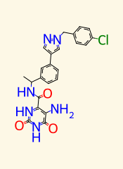 CC(NC(=O)c1[nH]c(=O)[nH]c(=O)c1N)c1cccc(-c2cnn(Cc3ccc(Cl)cc3)c2)c1